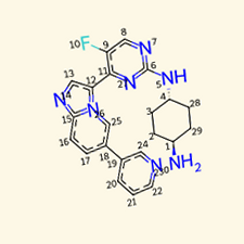 N[C@H]1CC[C@H](Nc2ncc(F)c(-c3cnc4ccc(-c5cccnc5)cn34)n2)CC1